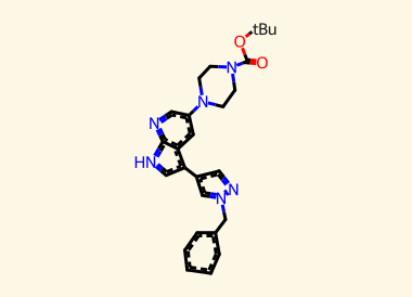 CC(C)(C)OC(=O)N1CCN(c2cnc3[nH]cc(-c4cnn(Cc5ccccc5)c4)c3c2)CC1